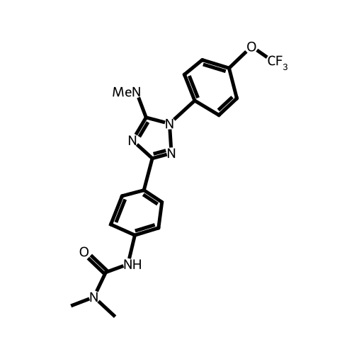 CNc1nc(-c2ccc(NC(=O)N(C)C)cc2)nn1-c1ccc(OC(F)(F)F)cc1